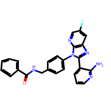 Nc1ncccc1-c1nc2cc(F)cnc2n1-c1ccc(CNC(=O)c2ccccc2)cc1